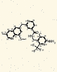 CSc1cc(Cc2cc(C(=O)NCc3c(C)cc(N)nc3C(F)(F)F)ccn2)cc2cc(C)cnc12